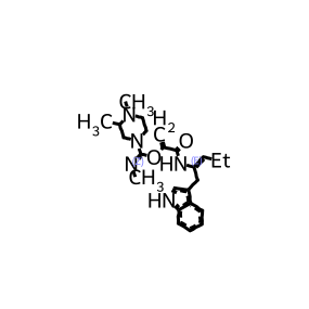 C=C(O/C(=N\C)N1CCN(C)C(C)C1)C(=O)N/C(=C/CC)Cc1c[nH]c2ccccc12